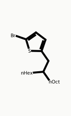 CCCCCCCCC(CCCCCC)Cc1ccc(Br)s1